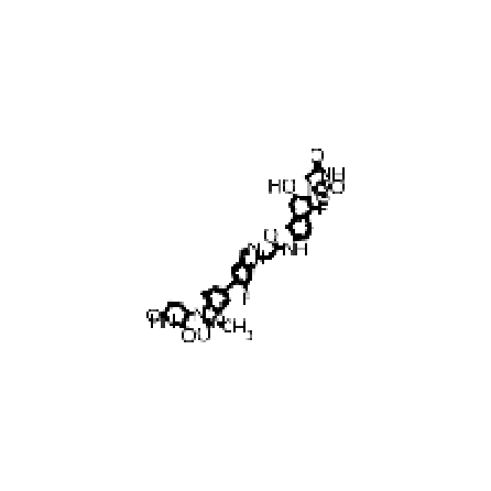 Cn1c(=O)n(C2CCC(=O)NC2=O)c2ccc(-c3cc4cnn(CC(=O)Nc5ccc6c(F)c(N7CC(=O)NS7(=O)=O)c(O)cc6c5)c4cc3F)cc21